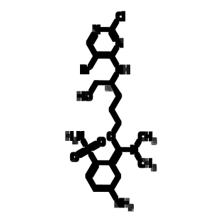 CN(C)C(OCCC[C@@H](CO)Nc1nc(Cl)ncc1Br)=C1CC(N)=CC=C1S(N)(=O)=O